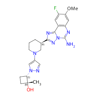 COc1cc2nc(N)n3nc([C@@H]4CCCN(c5cnn([C@H]6CC[C@@]6(C)O)c5)C4)nc3c2cc1F